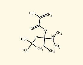 C=C(C)C(=O)OC(CC)(O[Si](C)(C)C)[SiH](C)C